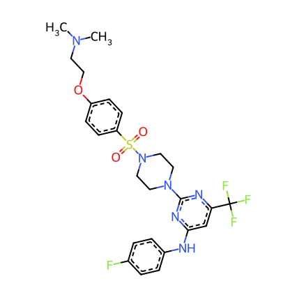 CN(C)CCOc1ccc(S(=O)(=O)N2CCN(c3nc(Nc4ccc(F)cc4)cc(C(F)(F)F)n3)CC2)cc1